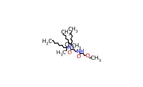 CCCCCCCC(C)(CC)N(C(=O)CCNC(=O)CCOCC)C(C)(CCCCCC)CCCCCC